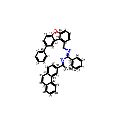 CN/C(=N\C(=N/Cc1cccc2oc3ccc(-c4ccccc4)cc3c12)c1ccccc1)c1ccc2ccc3ccccc3c2c1